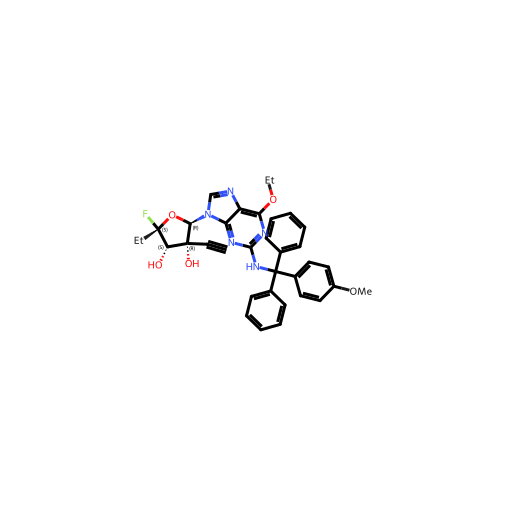 C#C[C@]1(O)[C@H](n2cnc3c(OCC)nc(NC(c4ccccc4)(c4ccccc4)c4ccc(OC)cc4)nc32)O[C@](F)(CC)[C@H]1O